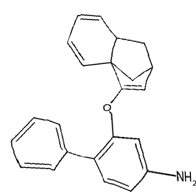 Nc1ccc(-c2ccccc2)c(OC2=CC3CC4C=CC=CC24C3)c1